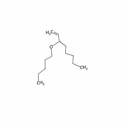 C=C[C](CCCCC)OCCCCC